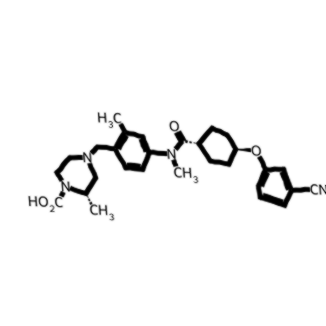 Cc1cc(N(C)C(=O)[C@H]2CC[C@H](Oc3cccc(C#N)c3)CC2)ccc1CN1CCN(C(=O)O)[C@@H](C)C1